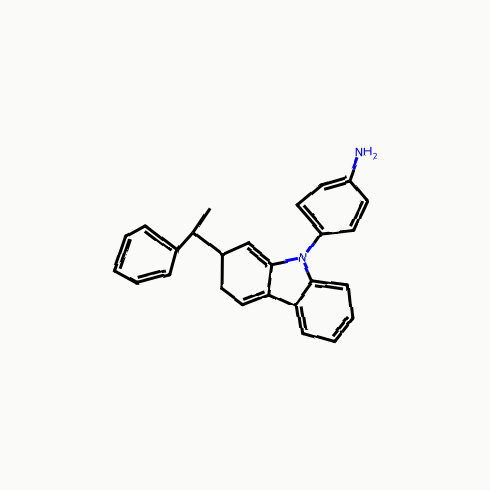 CC(c1ccccc1)C1C=c2c(c3ccccc3n2-c2ccc(N)cc2)=CC1